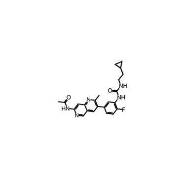 CC(=O)Nc1cc2nc(C)c(-c3ccc(F)c(NC(=O)NCCC4CC4)c3)cc2cn1